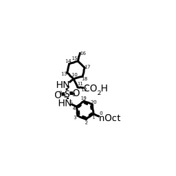 CCCCCCCCc1ccc(NS(=O)(=O)NC2(CC(=O)O)CCC(C)CC2)cc1